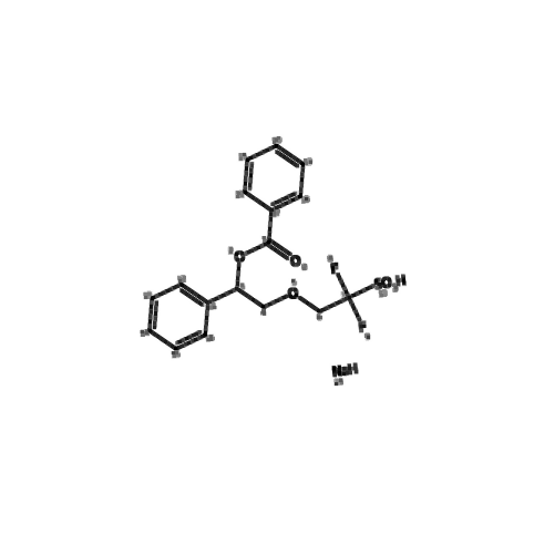 O=C(OC(COCC(F)(F)S(=O)(=O)O)c1ccccc1)c1ccccc1.[NaH]